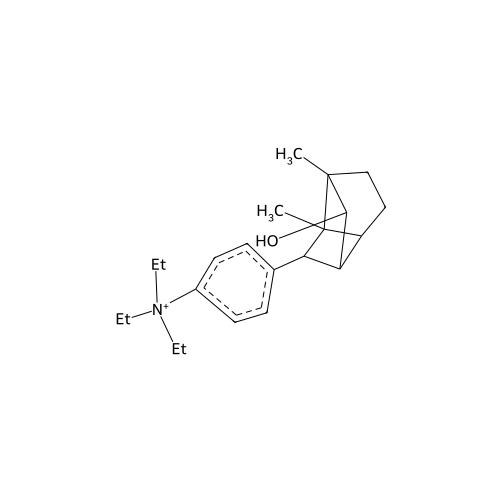 CC[N+](CC)(CC)c1ccc(C2C3C(O)C4(C)CCC3C24C)cc1